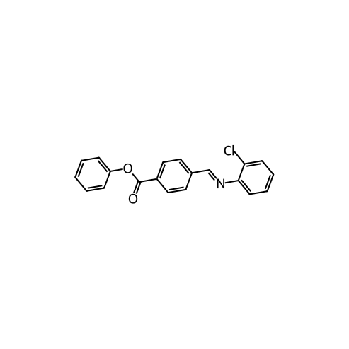 O=C(Oc1ccccc1)c1ccc(C=Nc2ccccc2Cl)cc1